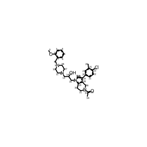 COc1ccccc1CN1CCN(CC(O)Cn2nc(-c3ccc(Cl)c(C)c3)c3c2CCN(C(C)=O)C3)CC1